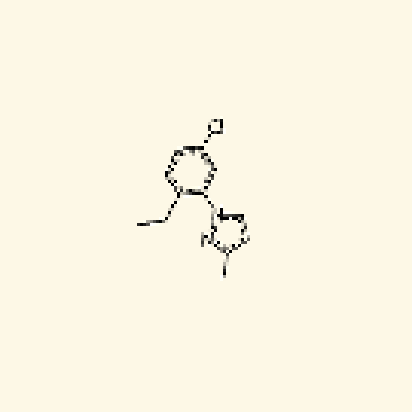 CCc1ccc(Cl)cc1-n1ccc(C)n1